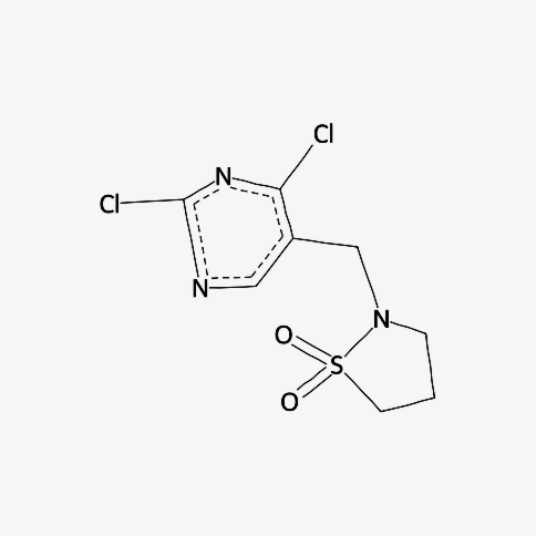 O=S1(=O)CCCN1Cc1cnc(Cl)nc1Cl